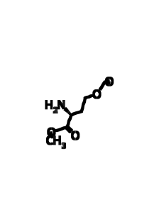 COC(=O)[C@@H](N)CCOC=O